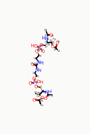 CC(=O)N[C@@H](COP(=O)(O)OCCNC(=O)NCCOP(=O)(O)OC[C@H](NC(C)=O)[C@H](C)OC(C)=O)[C@H](C)OC(C)=O